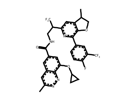 Cc1cc2cc(C(=O)NCC(c3cc4c(c(-c5ccc(F)c(C(F)(F)F)c5)n3)OCC4C)C(F)(F)F)cc(OC3CC3)c2nn1